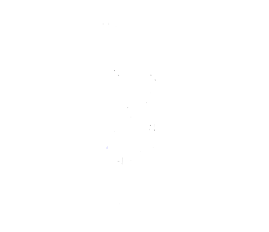 CC#C/C=C\C#C[C@](O)(OC1OC(C)C(SC)(C(=O)c2nccc3c2[nH]c2ccc(O)cc23)C(O)C1OC)C1=C(NC(=O)OC)C(=O)C[C@](C)(O)/C1=C/CSSSC